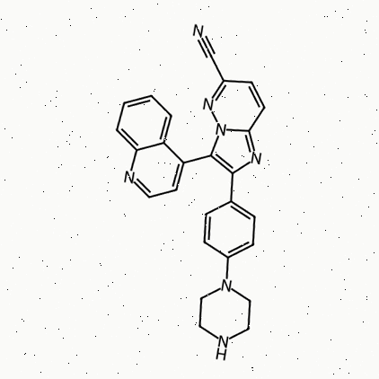 N#Cc1ccc2nc(-c3ccc(N4CCNCC4)cc3)c(-c3ccnc4ccccc34)n2n1